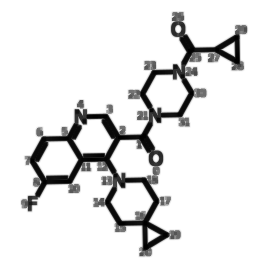 O=C(c1cnc2ccc(F)cc2c1N1CCC2(CC1)CC2)N1CCN(C(=O)C2CC2)CC1